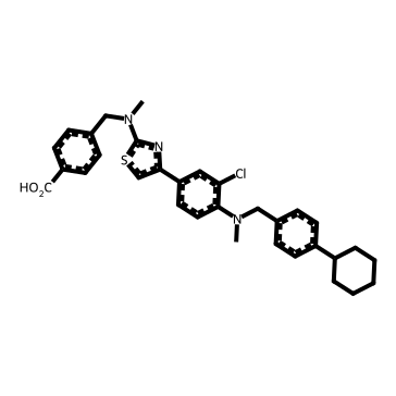 CN(Cc1ccc(C(=O)O)cc1)c1nc(-c2ccc(N(C)Cc3ccc(C4CCCCC4)cc3)c(Cl)c2)cs1